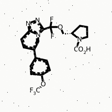 O=C(O)N1CCC[C@H]1COC(F)(F)c1nnc2ccc(-c3ccc(OC(F)(F)F)cc3)cn12